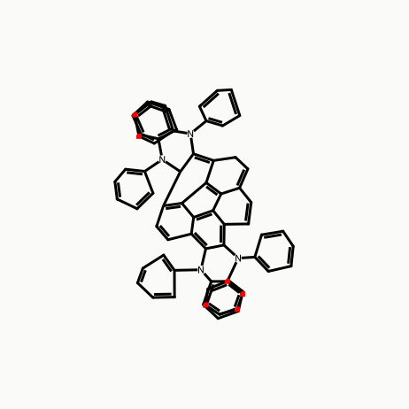 C1=c2ccc3c(N(c4ccccc4)c4ccccc4)c(N(c4ccccc4)c4ccccc4)c4ccc5c6c4c3c2=C6C(=C(N(c2ccccc2)c2ccccc2)C5N(c2ccccc2)c2ccccc2)C1